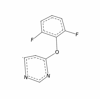 Fc1cccc(F)c1Oc1c[c]ncn1